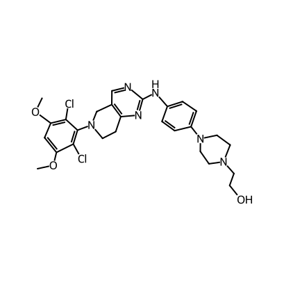 COc1cc(OC)c(Cl)c(N2CCc3nc(Nc4ccc(N5CCN(CCO)CC5)cc4)ncc3C2)c1Cl